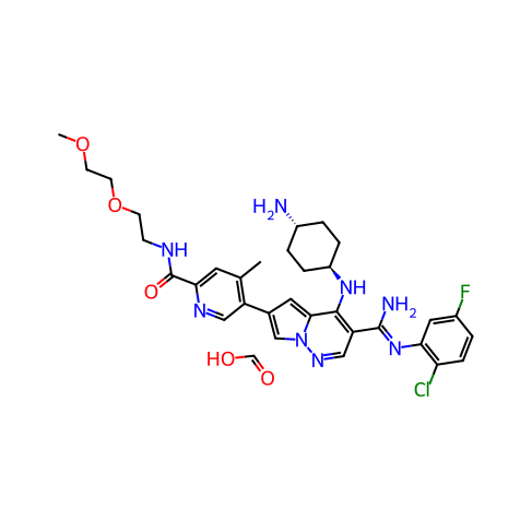 COCCOCCNC(=O)c1cc(C)c(-c2cc3c(N[C@H]4CC[C@H](N)CC4)c(C(N)=Nc4cc(F)ccc4Cl)cnn3c2)cn1.O=CO